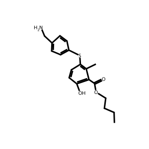 CCCCOC(=O)c1c(O)ccc(Sc2ccc(CN)cc2)c1C